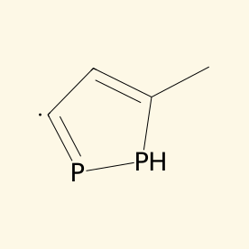 Cc1c[c]p[pH]1